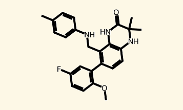 COc1ccc(F)cc1-c1ccc2c(c1CNc1ccc(C)cc1)NC(=O)C(C)(C)N2